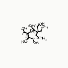 CCC(CO)(CO)CO.OCC(O)C(O)CO